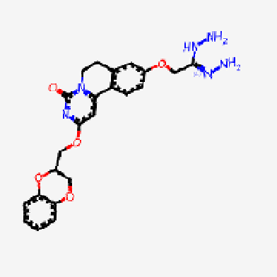 N/N=C(/COc1ccc2c(c1)CCn1c-2cc(OCC2COc3ccccc3O2)nc1=O)NN